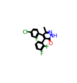 Cc1n[nH]c(=O)c(-c2c(F)ccc(F)c2F)c1-c1ccc(Cl)cc1